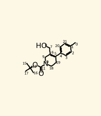 Cc1ccc(C2=C(CO)CN(C(=O)OC(C)(C)C)CC2)cc1